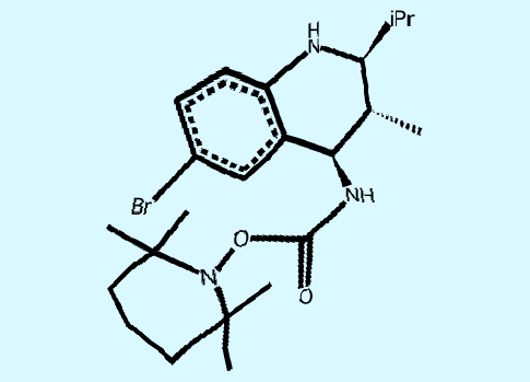 CC(C)[C@@H]1Nc2ccc(Br)cc2[C@H](NC(=O)ON2C(C)(C)CCCC2(C)C)[C@H]1C